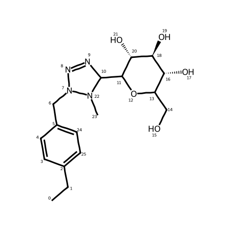 CCc1ccc(CN2N=NC(C3OC(CO)[C@@H](O)[C@H](O)[C@H]3O)N2C)cc1